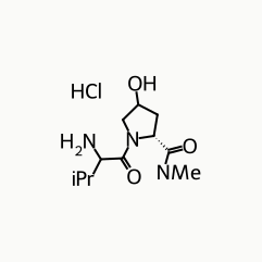 CNC(=O)[C@H]1CC(O)CN1C(=O)C(N)C(C)C.Cl